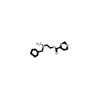 CN(CCOC(=O)c1ccncn1)Cc1ccccc1